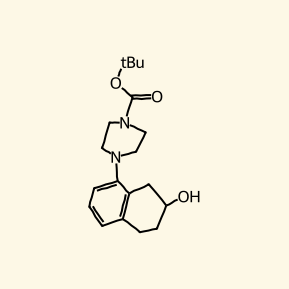 CC(C)(C)OC(=O)N1CCN(c2cccc3c2CC(O)CC3)CC1